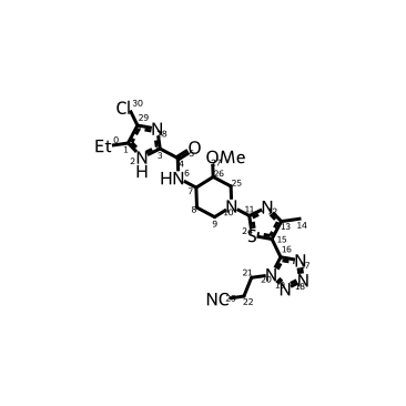 CCc1[nH]c(C(=O)NC2CCN(c3nc(C)c(-c4nnnn4CCC#N)s3)CC2OC)nc1Cl